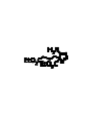 CCOC(=O)CCCC1(C(=O)OCC)N=CC=C1N